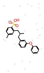 Cc1ccc(S(=O)(=O)O)c(CC(C)Cc2cccc(Oc3ccccc3)c2)c1